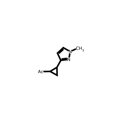 CC(=O)C1CC1c1ccn(C)n1